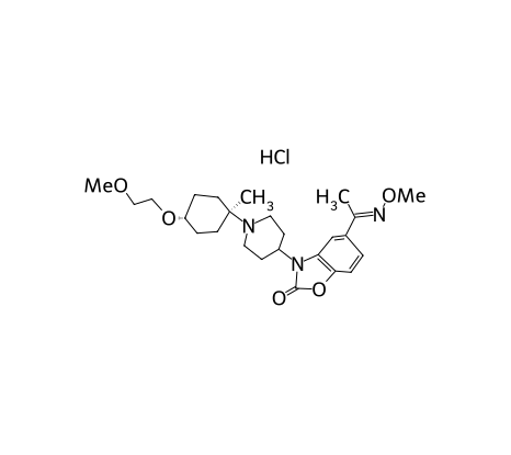 COCCO[C@H]1CC[C@](C)(N2CCC(n3c(=O)oc4ccc(/C(C)=N/OC)cc43)CC2)CC1.Cl